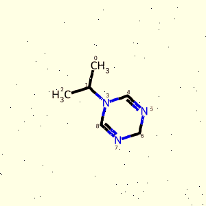 CC(C)N1C=NCN=C1